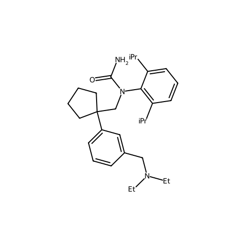 CCN(CC)Cc1cccc(C2(CN(C(N)=O)c3c(C(C)C)cccc3C(C)C)CCCC2)c1